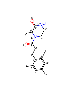 Cc1cc(C)c(CCC(=O)N2CCNC(=O)C2C)c(C)c1